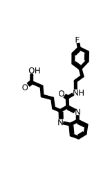 O=C(O)CCCCc1nc2ccccc2nc1C(=O)NCCc1ccc(F)cc1